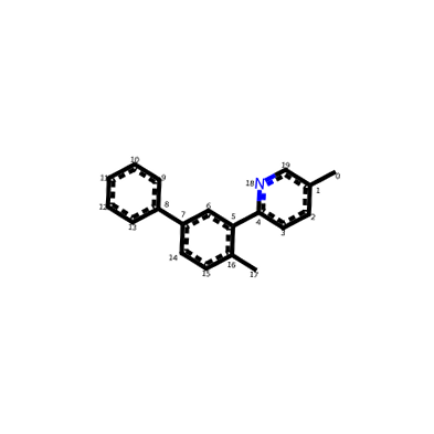 Cc1ccc(-c2cc(-c3ccccc3)ccc2C)nc1